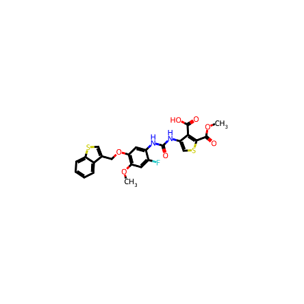 COC(=O)c1scc(NC(=O)Nc2cc(OCc3csc4ccccc34)c(OC)cc2F)c1C(=O)O